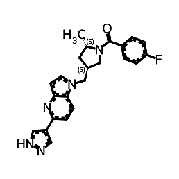 C[C@H]1C[C@H](Cn2ccc3nc(-c4cn[nH]c4)ccc32)CN1C(=O)c1ccc(F)cc1